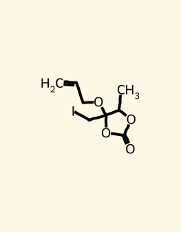 C=CCOC1(CI)OC(=O)OC1C